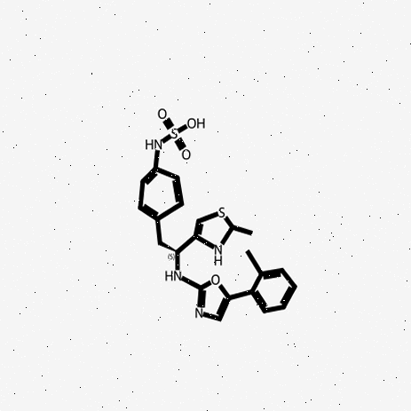 Cc1ccccc1-c1cnc(N[C@@H](Cc2ccc(NS(=O)(=O)O)cc2)C2=CSC(C)N2)o1